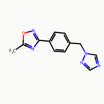 FC(F)(F)c1nc(-c2ccc(Cn3cncn3)cc2)no1